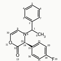 CC(c1ccccc1)N1C=COC(=O)[C@@H]1c1ccc(F)cc1